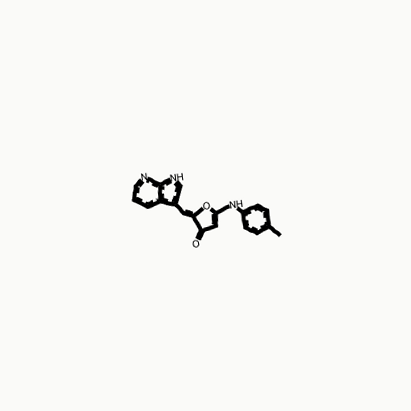 Cc1ccc(NC2=CC(=O)C(=Cc3c[nH]c4ncccc34)O2)cc1